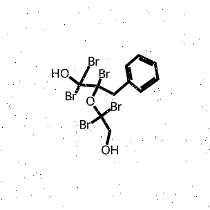 OCC(Br)(Br)OC(Br)(Cc1ccccc1)C(O)(Br)Br